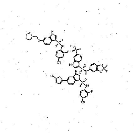 CS(=O)(=O)c1ccc2c(S(=O)(=O)Nc3ccc4c(c3)OC(F)(F)O4)c[nH]c2c1.N#Cc1ccc(NS(=O)(=O)c2c[nH]c3cc(-c4ccc(Cl)s4)ccc23)c(F)c1.N#Cc1ccc(NS(=O)(=O)c2c[nH]c3cc(OCC4CCCO4)ccc23)c(F)c1